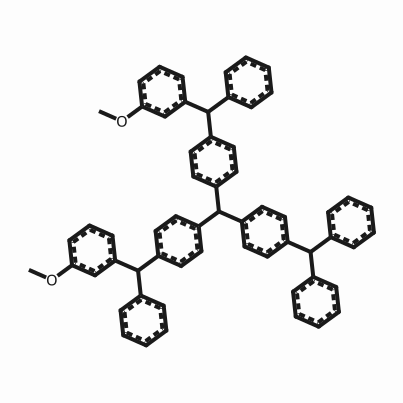 COc1cccc(C(c2ccccc2)c2ccc(C(c3ccc(C(c4ccccc4)c4ccccc4)cc3)c3ccc(C(c4ccccc4)c4cccc(OC)c4)cc3)cc2)c1